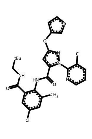 Cc1cc(Cl)cc(C(=O)NCC(C)(C)C)c1NC(=O)c1cc(Oc2ccsc2)nn1-c1ncccc1Cl